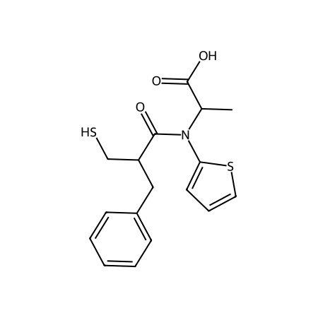 CC(C(=O)O)N(C(=O)C(CS)Cc1ccccc1)c1cccs1